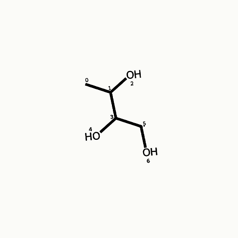 CC(O)C(O)[CH]O